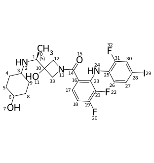 C[C@H](NC1CCC(O)CC1)C1(O)CN(C(=O)c2ccc(F)c(F)c2Nc2ccc(I)cc2F)C1